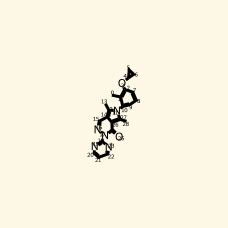 Cc1c(OC2CC2)cccc1-n1c(C)c2cnn(-c3ncccn3)c(=O)c2c1C